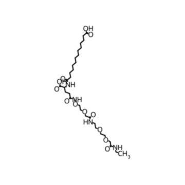 CCNC(=O)COCCOCCNC(=O)COCCONC(=O)CCC(NC(=O)CCCCCCCCCCCCC(=O)O)C(=O)O